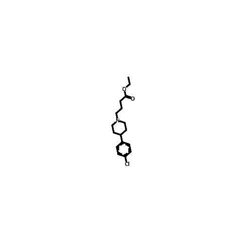 CCOC(=O)CCCN1CCC(c2ccc(Cl)cc2)CC1